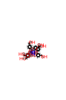 OCc1ccc(ON2P(Oc3ccc(CO)cc3)N=P(Oc3ccc(CO)cc3)(Oc3ccc(CO)cc3)N(Oc3ccc(CO)cc3)P2Oc2ccc(CO)cc2)cc1